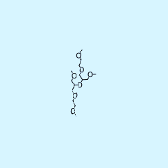 COCCOCC(COC)OC(COC)COCCOC